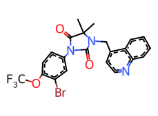 CC1(C)C(=O)N(c2ccc(OC(F)(F)F)c(Br)c2)C(=O)N1Cc1ccnc2ccccc12